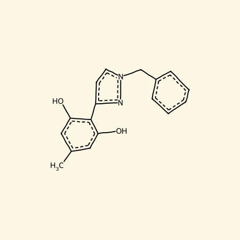 Cc1cc(O)c(-c2ccn(Cc3ccccc3)n2)c(O)c1